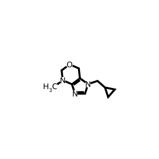 CN1COCc2c1ncn2CC1CC1